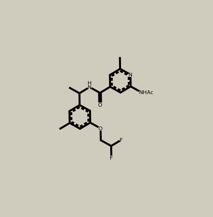 CC(=O)Nc1cc(C(=O)NC(C)c2cc(C)cc(OCC(F)F)c2)cc(C)n1